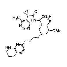 COC(CF)CN(CCCCc1ccc2c(n1)NCCC2)CCC(NC(=O)C1(c2cncnc2C)CC1)C(=O)O